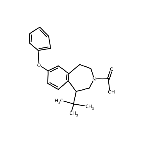 CC(C)(C)C1CN(C(=O)O)CCc2cc(Oc3ccccc3)ccc21